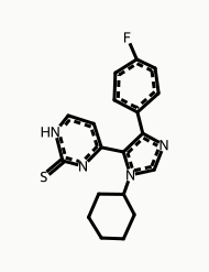 Fc1ccc(-c2ncn(C3CCCCC3)c2-c2cc[nH]c(=S)n2)cc1